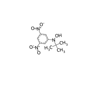 CC(C)(C)N(O)c1cc([N+](=O)[O-])cc([N+](=O)[O-])c1